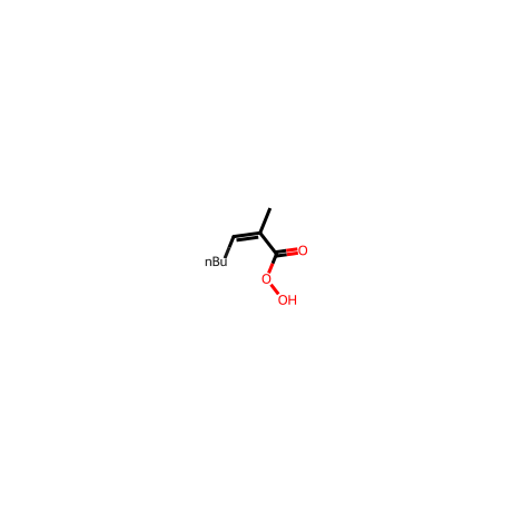 CCCCC=C(C)C(=O)OO